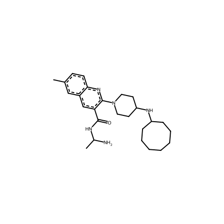 Cc1ccc2nc(N3CCC(NC4CCCCCCC4)CC3)c(C(=O)NC(C)N)cc2c1